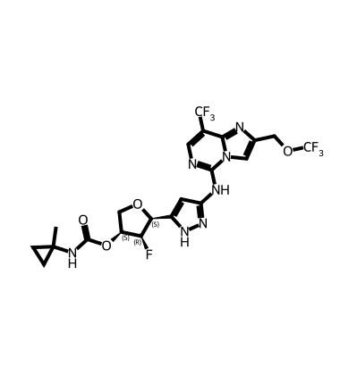 CC1(NC(=O)O[C@H]2CO[C@@H](c3cc(Nc4ncc(C(F)(F)F)c5nc(COC(F)(F)F)cn45)n[nH]3)[C@H]2F)CC1